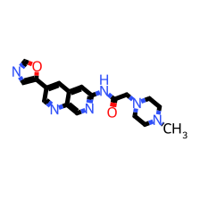 CN1CCN(CC(=O)Nc2cc3cc(-c4cnco4)cnc3cn2)CC1